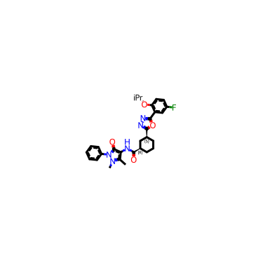 Cc1c(NC(=O)[C@@H]2CCC[C@H](c3nnc(-c4cc(F)ccc4OC(C)C)o3)C2)c(=O)n(-c2ccccc2)n1C